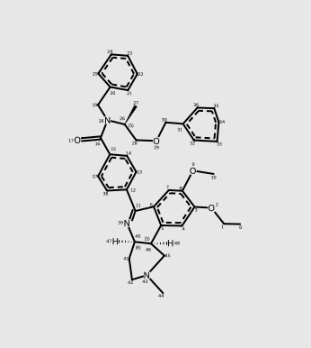 CCOc1cc2c(cc1OC)C(c1ccc(C(=O)N(Cc3ccccc3)[C@@H](C)COCc3ccccc3)cc1)=N[C@@H]1CCN(C)C[C@H]21